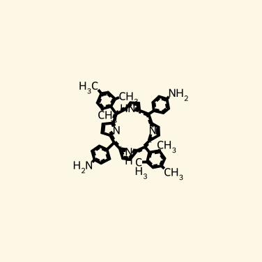 Cc1cc(C)c(-c2c3nc(c(-c4ccc(N)cc4)c4ccc([nH]4)c(-c4c(C)cc(C)cc4C)c4nc(c(-c5ccc(N)cc5)c5ccc2[nH]5)C=C4)C=C3)c(C)c1